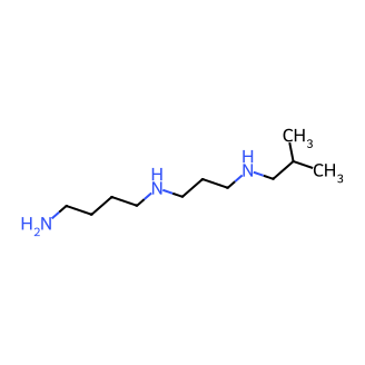 CC(C)CNCCCNCCCCN